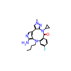 CCCCN1c2cc(F)ccc2C(=O)N(C2CC2)c2nn(C)cc2-c2cnc(N)c1c2